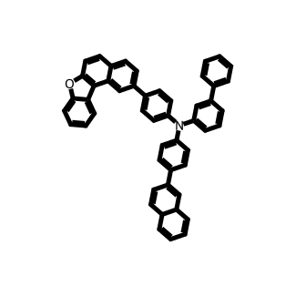 C1=CC2C=CC(c3ccc(N(c4ccc(-c5ccc6ccc7oc8ccccc8c7c6c5)cc4)c4cccc(-c5ccccc5)c4)cc3)=CC2C=C1